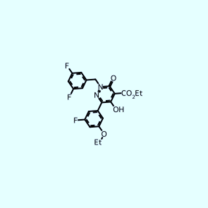 CCOC(=O)c1c(O)c(-c2cc(F)cc(OCC)c2)nn(Cc2cc(F)cc(F)c2)c1=O